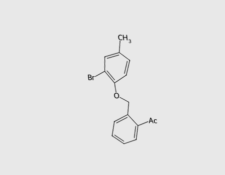 CC(=O)c1ccccc1COc1ccc(C)cc1Br